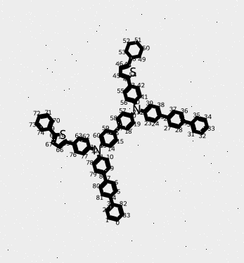 c1ccc(-c2ccc(-c3ccc(N(c4ccc(-c5ccc(N(c6ccc(-c7ccc(-c8ccccc8)cc7)cc6)c6ccc(-c7ccc(C8CCCCC8)s7)cc6)cc5)cc4)c4ccc(-c5ccc(-c6ccccc6)s5)cc4)cc3)cc2)cc1